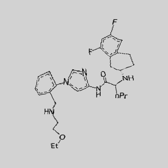 CCCC(N[C@H]1CCc2cc(F)cc(F)c2C1)C(=O)Nc1cn(-c2ccccc2CNCCOCC)cn1